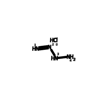 Cl.N=NNN